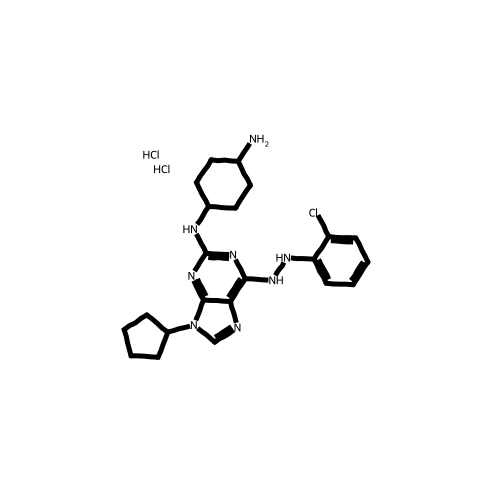 Cl.Cl.NC1CCC(Nc2nc(NNc3ccccc3Cl)c3ncn(C4CCCC4)c3n2)CC1